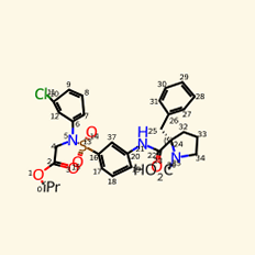 CC(C)OC(=O)CN(c1cccc(Cl)c1)S(=O)(=O)c1cccc(NC(=O)[C@@]2(Cc3ccccc3)CCCN2C(=O)O)c1